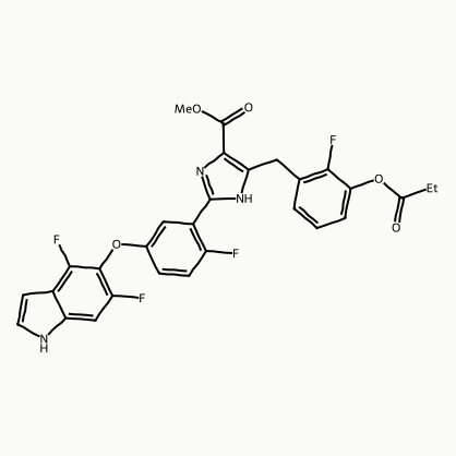 CCC(=O)Oc1cccc(Cc2[nH]c(-c3cc(Oc4c(F)cc5[nH]ccc5c4F)ccc3F)nc2C(=O)OC)c1F